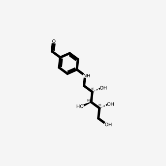 O=Cc1ccc(NC[C@H](O)[C@H](O)[C@H](O)CO)cc1